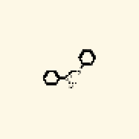 [O-][S+](CSc1ccccc1)c1ccccc1